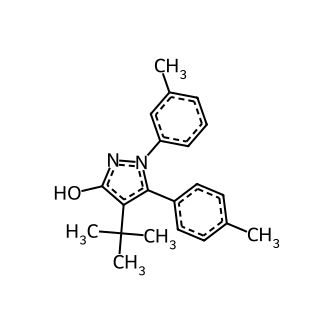 Cc1ccc(-c2c(C(C)(C)C)c(O)nn2-c2cccc(C)c2)cc1